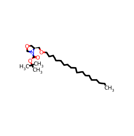 CCCCCCCCCCCCCCCCCCOC[C@@H]1COCN1C(=O)OC(C)(C)C